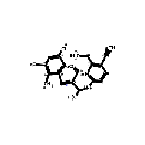 C#Cc1ccc(NC(C)/C(C=O)=C/c2cc(Cl)cc(F)c2C)nc1CC